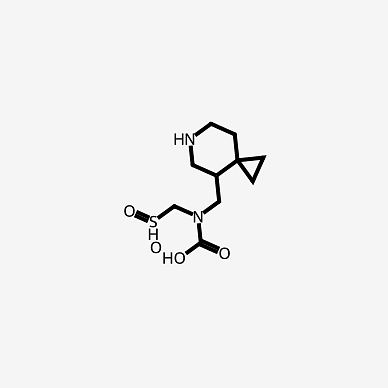 O=C(O)N(CC1CNCCC12CC2)C[SH](=O)=O